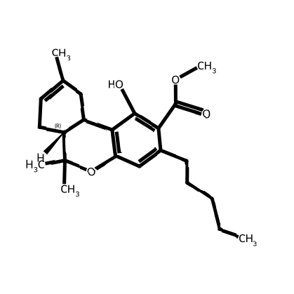 CCCCCc1cc2c(c(O)c1C(=O)OC)C1CC(C)=CC[C@H]1C(C)(C)O2